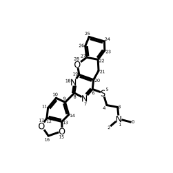 CN(C)CCSc1nc(-c2ccc3c(c2)OCO3)nc2c1Cc1ccccc1O2